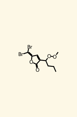 CCCC(OOC)C1=CC(=C(Br)Br)OC1=O